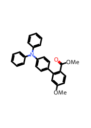 COC(=O)c1ccc(OC)cc1-c1ccc(N(c2ccccc2)c2ccccc2)cc1